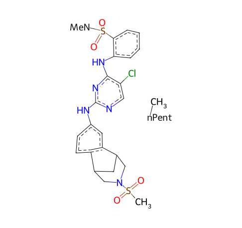 CCCCCC.CNS(=O)(=O)c1ccccc1Nc1nc(Nc2ccc3c(c2)C2CC3CN(S(C)(=O)=O)C2)ncc1Cl